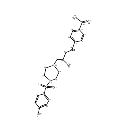 CCCc1ccc(S(=O)(=O)N2CCN(CC(O)CNc3ccc(C(=N)N)cc3)CC2)cc1